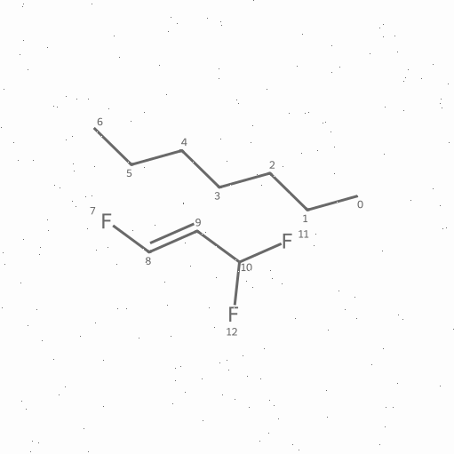 CCCCCCC.FC=CC(F)F